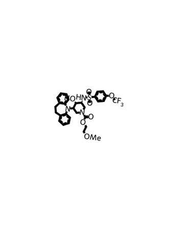 COCCOC(=O)N1CC(N2c3ccccc3CCc3ccccc32)[C@@H](O)[C@H](NS(=O)(=O)c2ccc(OC(F)(F)F)cc2)C1